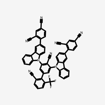 N#Cc1ccc(-c2ccc3c(c2)c2ccccc2n3-c2cc(-c3c(C#N)cccc3C(F)(F)F)cc(-n3c4ccccc4c4cc(-c5ccc(C#N)cc5C#N)ccc43)c2C#N)c(C#N)c1